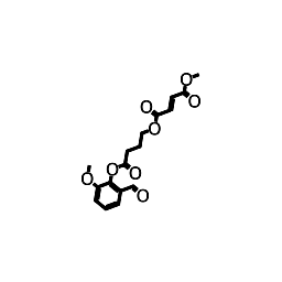 COC(=O)/C=C/C(=O)OCCCC(=O)Oc1c(C=O)cccc1OC